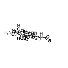 CC(C)(COP(=O)(O)OP(=O)(O)OC[C@H]1O[C@@H](n2cnc3c(N)ncnc32)[C@H](O)[C@@H]1OP(=O)(O)O)[C@@H](O)C(=O)NCCC(=O)NCCSC(=O)C1CO1